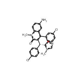 Cn1cncc1[C@H](c1ccc(Cl)cc1)c1c(-c2cccc(Cl)c2)c2cc(N)ccc2n(C)c1=O